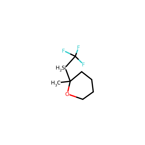 CC1([SiH2]C(F)(F)F)CCCCO1